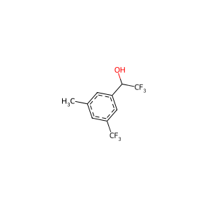 Cc1cc(C(O)C(F)(F)F)cc(C(F)(F)F)c1